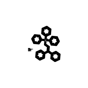 C(C[P+](c1ccccc1)(c1ccccc1)c1ccccc1)=C(c1ccccc1)c1ccccc1.[Br-]